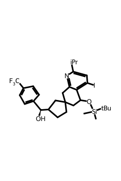 CC(C)c1cc(I)c2c(n1)CC1(CCC([C@@H](O)c3ccc(C(F)(F)F)cc3)C1)CC2O[Si](C)(C)C(C)(C)C